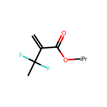 C=C(C(=O)OC(C)C)C(C)(F)F